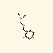 O=[N+]([O-])CCCc1ccccc1